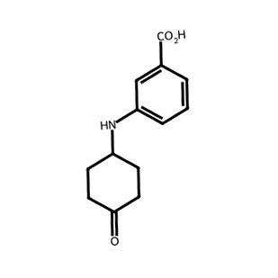 O=C1CCC(Nc2cccc(C(=O)O)c2)CC1